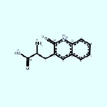 NC(Cc1cc2ccccc2[nH]c1=O)C(=O)O